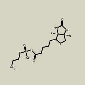 NCCOP(=O)(O)OC(=O)CCCC[C@@H]1SC[C@@H]2NC(=O)N[C@@H]21